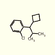 CC(C)C(c1ccccc1Cl)C1CCC1